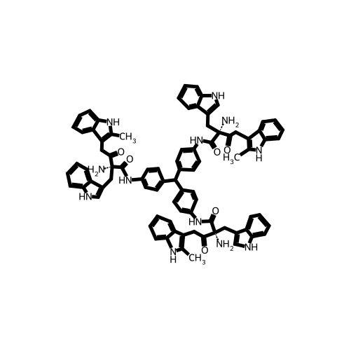 Cc1[nH]c2ccccc2c1CC(=O)[C@](N)(Cc1c[nH]c2ccccc12)C(=O)Nc1ccc(C(c2ccc(NC(=O)[C@@](N)(Cc3c[nH]c4ccccc34)C(=O)Cc3c(C)[nH]c4ccccc34)cc2)c2ccc(NC(=O)[C@@](N)(Cc3c[nH]c4ccccc34)C(=O)Cc3c(C)[nH]c4ccccc34)cc2)cc1